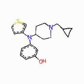 Oc1cccc(N(c2ccsc2)C2CCN(CC3CC3)CC2)c1